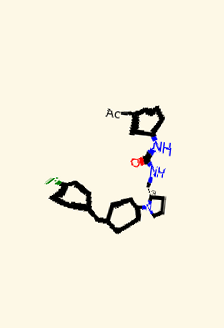 CC(=O)c1cccc(NC(=O)NC[C@@H]2CCCN2C2CCC(Cc3ccc(F)cc3)CC2)c1